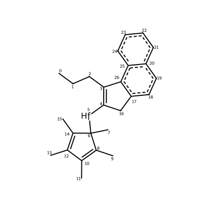 CCCC1=[C]([Hf][C]2(C)C(C)=C(C)C(C)=C2C)Cc2ccc3ccccc3c21